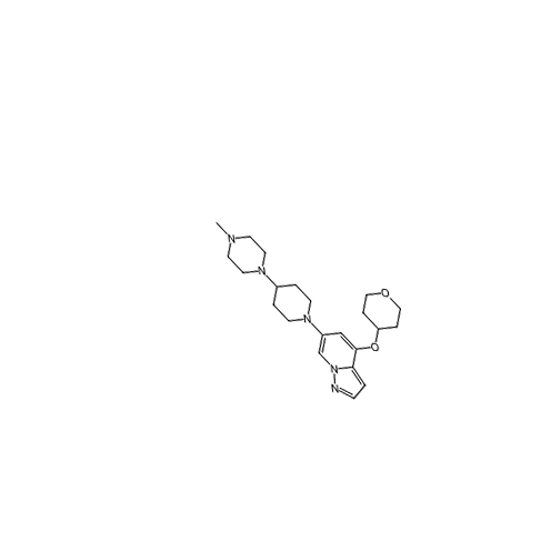 CN1CCN(C2CCN(c3cc(OC4CCOCC4)c4ccnn4c3)CC2)CC1